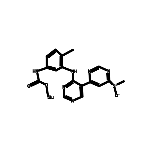 Cc1ccc(NC(=O)OC(C)(C)C)cc1Nc1ncncc1-c1cc([S+](C)[O-])ncn1